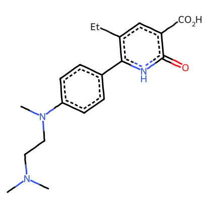 CCc1cc(C(=O)O)c(=O)[nH]c1-c1ccc(N(C)CCN(C)C)cc1